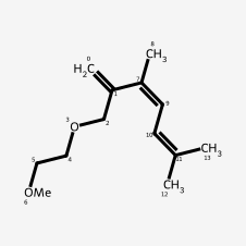 C=C(COCCOC)/C(C)=C\C=C(C)C